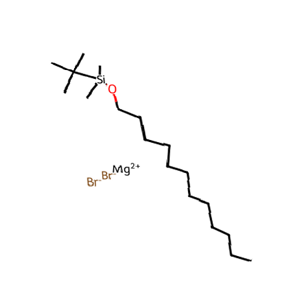 CCCCCCCCCCCCO[Si](C)(C)C(C)(C)C.[Br-].[Br-].[Mg+2]